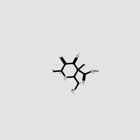 C=C1C(=O)C(C)(C(=O)OC)C(CC(C)C)OC1C